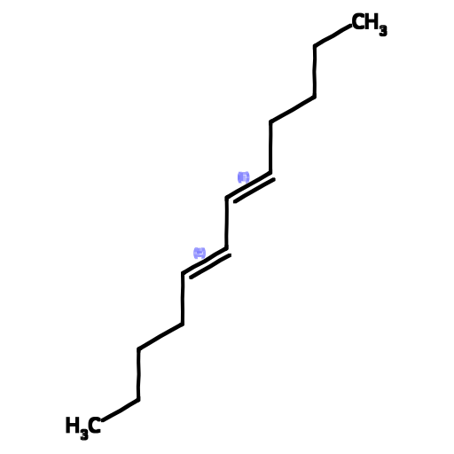 CCCC/C=C/C=C/CCCC